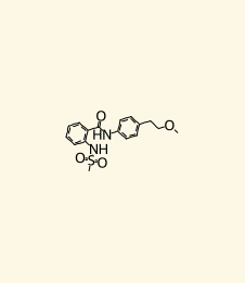 COCCc1ccc(NC(=O)c2ccccc2NS(C)(=O)=O)cc1